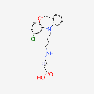 O=C(O)/C=C/CNCCCCN1c2ccccc2COc2ccc(Cl)cc21